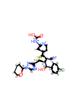 N#Cc1c(-c2ccnc(NC(=O)O)c2)sc(-c2ncn(C3CCCCO3)n2)c1C(O)c1ccc(Cl)cc1